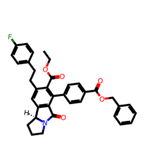 CCOC(=O)c1c(CCc2ccc(F)cc2)cc2c(c1-c1ccc(C(=O)OCc3ccccc3)cc1)C(=O)N1CCC[C@@H]21